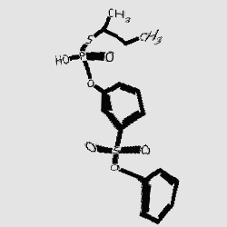 CCC(C)SP(=O)(O)Oc1cccc(S(=O)(=O)Oc2ccccc2)c1